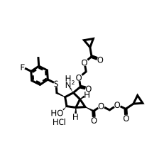 Cc1cc(SC[C@@H]2[C@@H](O)[C@H]3[C@H](C(=O)OCOC(=O)C4CC4)[C@H]3[C@]2(N)C(=O)OCOC(=O)C2CC2)ccc1F.Cl